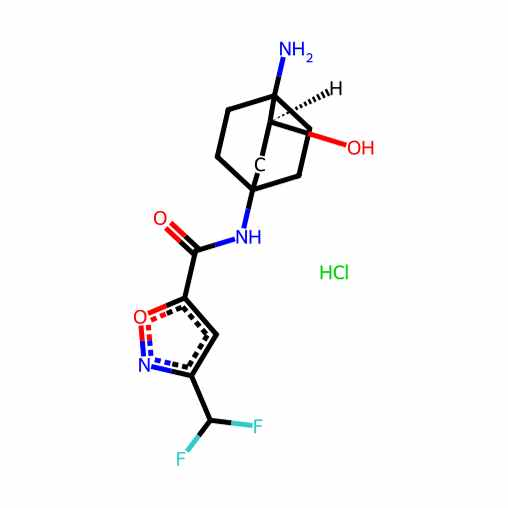 Cl.NC12CCC(NC(=O)c3cc(C(F)F)no3)(CC1)C[C@@H]2O